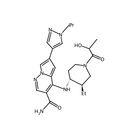 CC[C@@H]1CN(C(=O)C(C)O)CC[C@H]1Nc1c(C(N)=O)cnn2cc(-c3cnn(C(C)C)c3)cc12